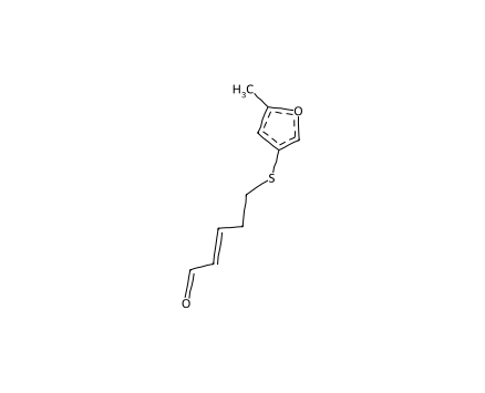 Cc1cc(SCC/C=C/C=O)co1